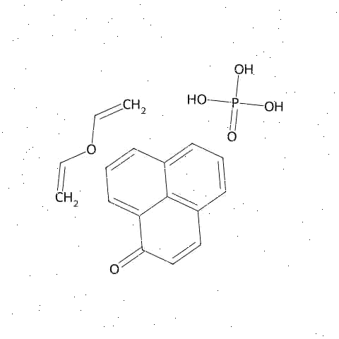 C=COC=C.O=C1C=Cc2cccc3cccc1c23.O=P(O)(O)O